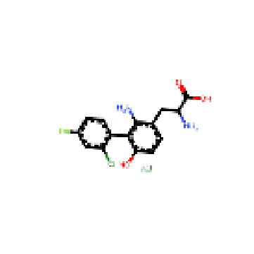 Cl.Nc1c(CC(N)C(=O)O)ccc(O)c1-c1ccc(F)cc1Cl